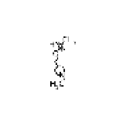 CCN1CCC(CCOC2=NC(C)N2)CC1